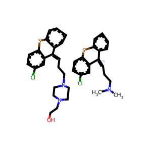 CN(C)CC/C=C1/c2ccccc2Sc2ccc(Cl)cc21.OCCN1CCN(CCC=C2c3ccccc3Sc3ccc(Cl)cc32)CC1